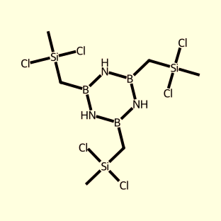 C[Si](Cl)(Cl)CB1NB(C[Si](C)(Cl)Cl)NB(C[Si](C)(Cl)Cl)N1